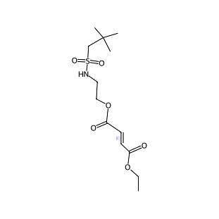 CCOC(=O)/C=C/C(=O)OCCNS(=O)(=O)CC(C)(C)C